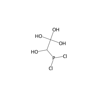 OC(P(Cl)Cl)C(O)(O)O